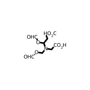 O=COCN(CC(=O)O)C(CC(=O)O)OC=O